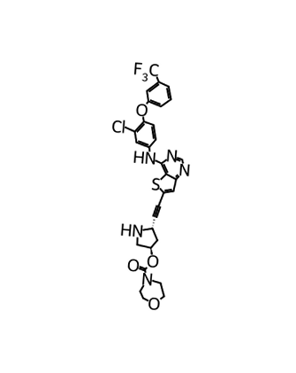 O=C(O[C@H]1CN[C@H](C#Cc2cc3ncnc(Nc4ccc(Oc5cccc(C(F)(F)F)c5)c(Cl)c4)c3s2)C1)N1CCOCC1